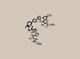 C=C(/C=C\c1cc(-c2ccc(-c3cnc([C@@H]4C[C@H](C#N)CN4C(=O)[C@@H](NC(=O)OC)C(C)C)[nH]3)cc2)ccc1C)c1cnc([C@@H]2CCCN2C(=O)[C@@H](NC(=O)OC)C(C)C)[nH]1